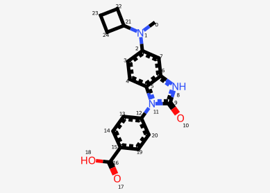 CN(c1ccc2c(c1)[nH]c(=O)n2-c1ccc(C(=O)O)cc1)C1CCC1